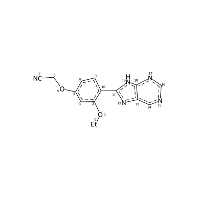 CCOc1cc(OCC#N)ccc1-c1nc2cncnc2[nH]1